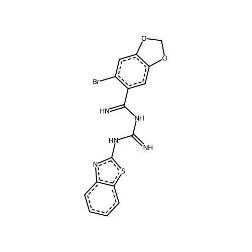 N=C(NC(=N)c1cc2c(cc1Br)OCO2)Nc1nc2ccccc2s1